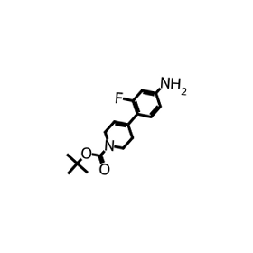 CC(C)(C)OC(=O)N1CC=C(c2ccc(N)cc2F)CC1